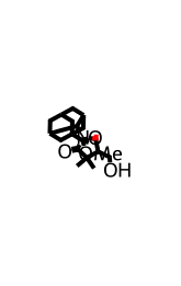 COC(=O)C12CC3CC(C1)C(N1CC(CO)C(C)(C)C1=O)C(C3)C2